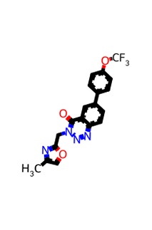 Cc1coc(Cn2nnc3ccc(-c4ccc(OC(F)(F)F)cc4)cc3c2=O)n1